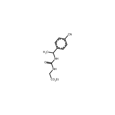 CCOC(=O)CNC(=O)NC(C)c1ccc(C#N)cc1